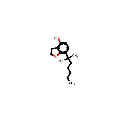 CCCCCC(C)(C)c1ccc(O)c2c1OCC2